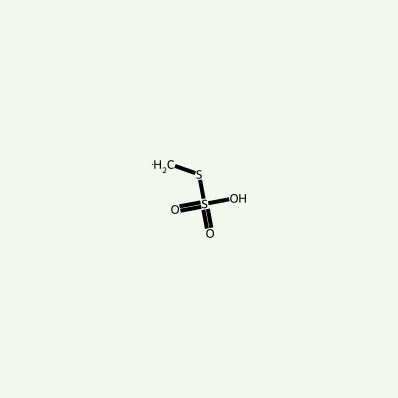 [CH2]SS(=O)(=O)O